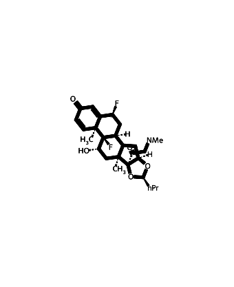 CCC[C@@H]1O[C@@H]2CC3[C@@H]4C[C@H](F)C5=CC(=O)C=C[C@]5(C)[C@@]4(F)[C@@H](O)C[C@]3(C)[C@]2(C(=O)CNC)O1